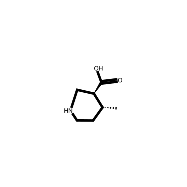 C[C@@H]1CCNC[C@H]1C(=O)O